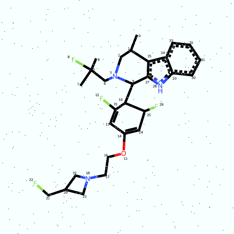 CC1CN(CC(C)(C)F)C(C2C(F)=CC(OCCN3CC(CF)C3)=CC2F)c2[nH]c3ccccc3c21